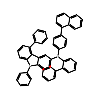 c1ccc(-c2ccccc2N(c2ccc(-c3cccc4ccccc34)cc2)c2ccc3c(c2)c2c(-c4ccccc4)cccc2n3-c2ccccc2)cc1